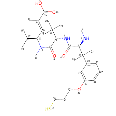 CN[C@H](C(=O)N[C@H](C(=O)N(C)[C@H](/C=C(\C)C(=O)O)C(C)C)C(C)(C)C)C(C)(C)c1cccc(OCCCS)c1